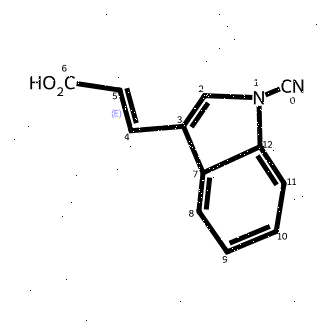 N#Cn1cc(/C=C/C(=O)O)c2ccccc21